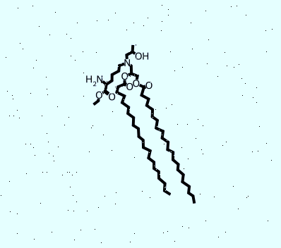 [CH2]C(O)CN(CCCCC(N)C(=O)OCC)CC(COC(=O)CCCCCCCCCCCCCCCCCCCCC)OC(=O)CCCCCCCCCCCCCCCCCCCCC